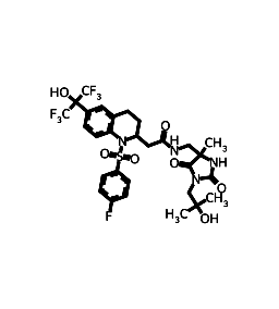 CC(C)(O)CN1C(=O)NC(C)(CNC(=O)CC2CCc3cc(C(O)(C(F)(F)F)C(F)(F)F)ccc3N2S(=O)(=O)c2ccc(F)cc2)C1=O